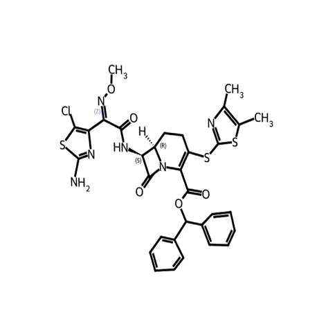 CO/N=C(\C(=O)N[C@@H]1C(=O)N2C(C(=O)OC(c3ccccc3)c3ccccc3)=C(Sc3nc(C)c(C)s3)CC[C@H]12)c1nc(N)sc1Cl